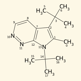 Cc1c(C(C)(C)C)c2ccnnc2n1C(C)(C)C